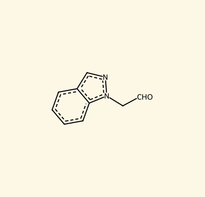 O=CCn1ncc2ccccc21